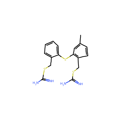 Cc1ccc(CSC(=N)N)c(Sc2ccccc2CSC(=N)N)c1